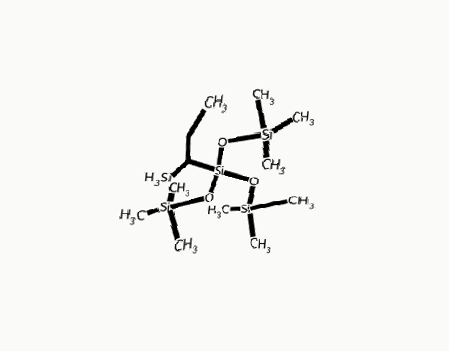 CCC([SiH3])[Si](O[Si](C)(C)C)(O[Si](C)(C)C)O[Si](C)(C)C